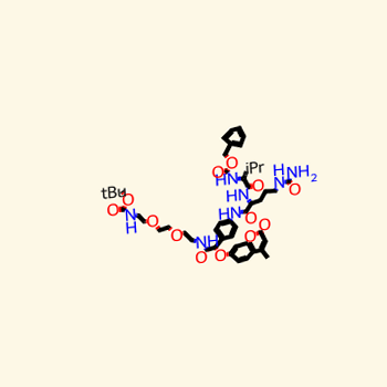 Cc1cc(=O)oc2cc(OC(C(=O)NCCOCCOCCNC(=O)OC(C)(C)C)c3ccc(NC(=O)C(CCCNC(N)=O)NC(=O)C(NC(=O)OCc4ccccc4)C(C)C)cc3)ccc12